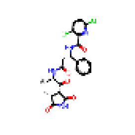 CC(C)[C@@H](NC(=O)C[C@H](NC(=O)c1nc(Cl)ccc1Cl)c1ccccc1)C(=O)[C@@H]1C(=O)NC(=O)[C@@H]1C